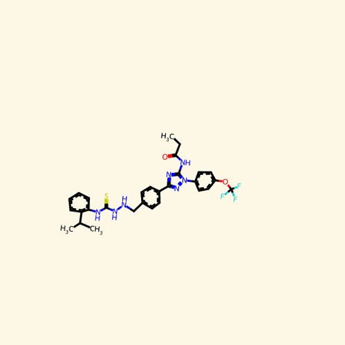 CCC(=O)Nc1nc(-c2ccc(CNNC(=S)Nc3ccccc3C(C)C)cc2)nn1-c1ccc(OC(F)(F)F)cc1